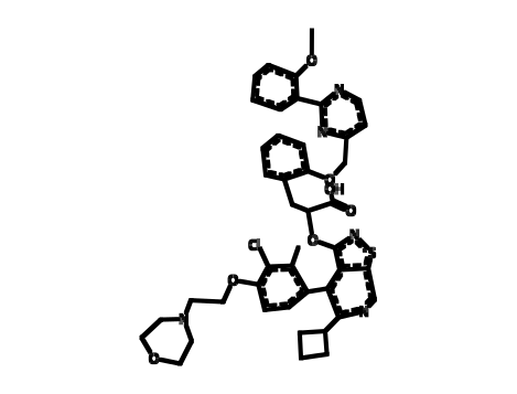 COc1ccccc1-c1nccc(COc2ccccc2CC(Oc2nsc3cnc(C4CCC4)c(-c4ccc(OCCN5CCOCC5)c(Cl)c4C)c23)C(=O)O)n1